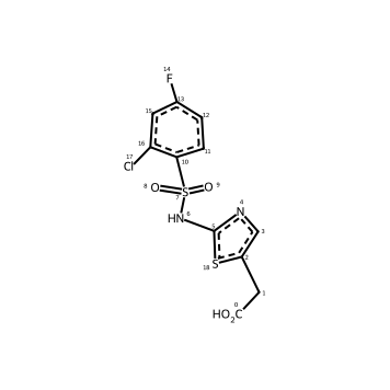 O=C(O)Cc1cnc(NS(=O)(=O)c2ccc(F)cc2Cl)s1